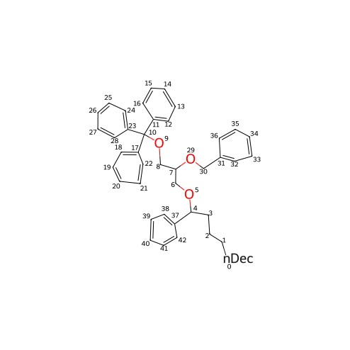 CCCCCCCCCCCCCC(OCC(COC(c1ccccc1)(c1ccccc1)c1ccccc1)OCc1ccccc1)c1ccccc1